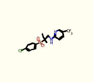 CC(C)(CNc1ccc(C(F)(F)F)cn1)S(=O)(=O)c1ccc(Cl)cc1